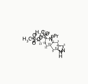 CCCN1C2Cc3cn[nH]c3CC2C[C@H](COS(C)(=O)=O)[C@H]1S(C)(=O)=O